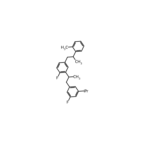 Cc1ccccc1C(C)Cc1ccc(F)c(C(C)Cc2cc(F)cc(C(C)C)c2)c1